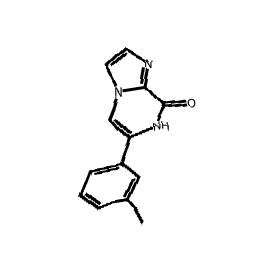 Cc1cccc(-c2cn3ccnc3c(=O)[nH]2)c1